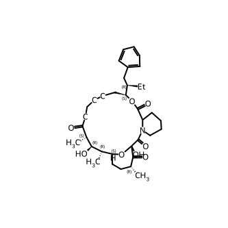 CC[C@H](Cc1ccccc1)[C@@H]1CCCCCC(=O)[C@@H](C)[C@H](O)[C@@H](C)[C@@H]2CC[C@@H](C)C(=O)C(O)(O2)C(=O)N2CCCCC2C(=O)O1